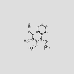 C=NN(C(CC)=C(C)CCBr)c1ccccc1